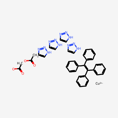 CC(=O)[O-].CC(=O)[O-].[Cu+2].c1c[nH]nn1.c1c[nH]nn1.c1c[nH]nn1.c1c[nH]nn1.c1ccc(C(=C(c2ccccc2)c2ccccc2)c2ccccc2)cc1